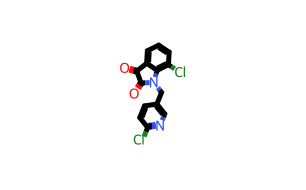 O=C1C(=O)N(Cc2ccc(Cl)nc2)c2c(Cl)cccc21